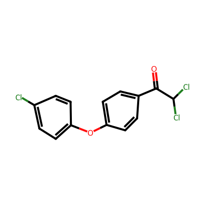 O=C(c1ccc(Oc2ccc(Cl)cc2)cc1)C(Cl)Cl